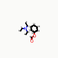 CCN(CC)CC.O=COc1ccccc1